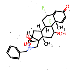 C[C@]12C=CC(=O)C=C1[C@@H](F)C[C@H]1[C@@H]3C[C@H]4CN(Cc5ccccc5)C[C@@]4(C(=O)O)[C@@]3(C)C[C@H](O)[C@@]12F